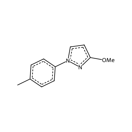 COc1ccn(-c2ccc(C)cc2)n1